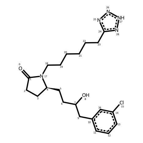 O=C1CC[C@H](CCC(O)Cc2cccc(Cl)c2)N1CCCCCCc1nn[nH]n1